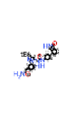 CC(C)(C)c1cc(NC(=O)Nc2ccc(-c3cccc4c3CNC4=O)cc2)n(-c2cccc(CC(N)=O)c2)n1